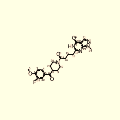 COc1ccc(C(=O)C2CCN(C(=O)CCCc3nc4c(cnn4C)c(=O)[nH]3)CC2)cc1F